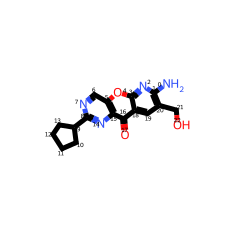 Nc1nc2oc3cnc(C4CCCC4)nc3c(=O)c2cc1CO